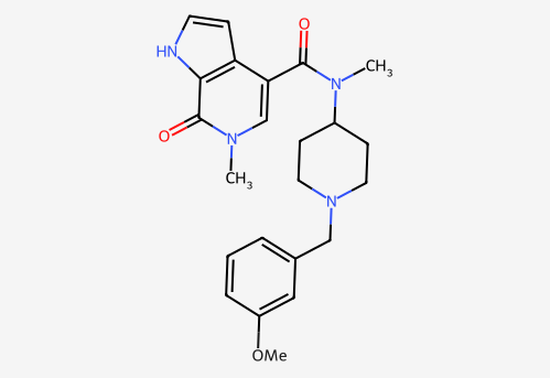 COc1cccc(CN2CCC(N(C)C(=O)c3cn(C)c(=O)c4[nH]ccc34)CC2)c1